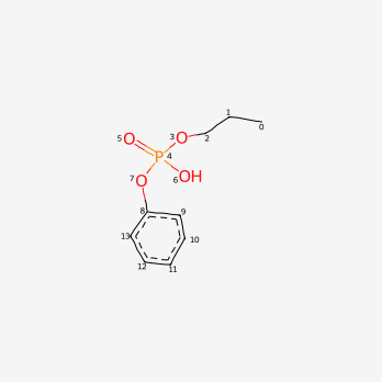 CCCOP(=O)(O)Oc1ccccc1